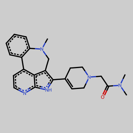 CN(C)C(=O)CN1CC=C(c2[nH]c3nccc4c3c2CN(C)c2ccccc2-4)CC1